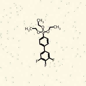 CCO[Si](OCC)(OCC)c1ccc(-c2cc(F)c(F)c(F)c2)cc1